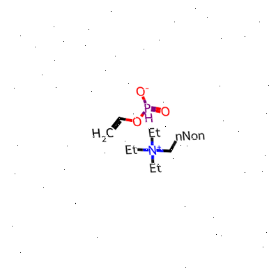 C=CO[PH](=O)[O-].CCCCCCCCCC[N+](CC)(CC)CC